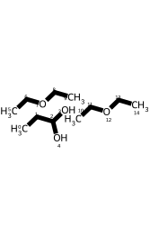 CCC(O)O.CCOCC.CCOCC